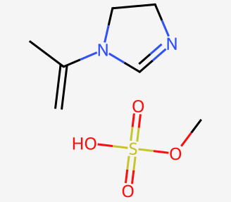 C=C(C)N1C=NCC1.COS(=O)(=O)O